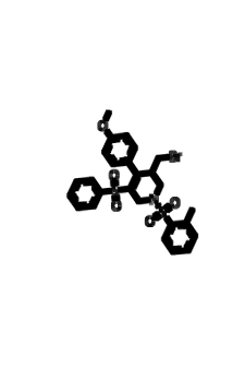 COc1ccc(C2=C(S(=O)(=O)c3ccccc3)CN(S(=O)(=O)c3ccccc3C)CC2CBr)cc1